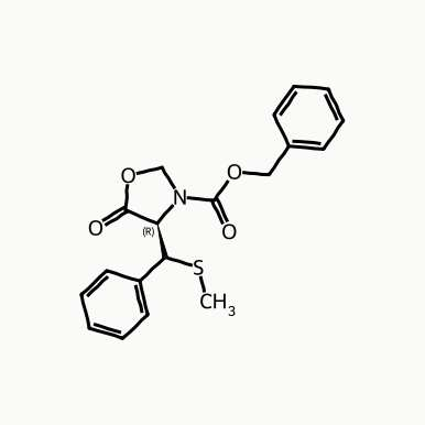 CSC(c1ccccc1)[C@H]1C(=O)OCN1C(=O)OCc1ccccc1